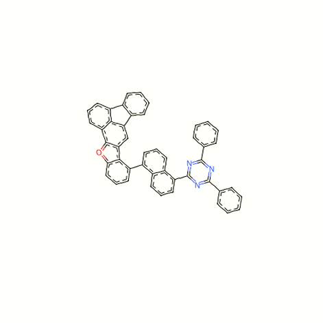 c1ccc(-c2nc(-c3ccccc3)nc(-c3cccc4c(-c5cccc6oc7c8cccc9c8c(cc7c56)-c5ccccc5-9)cccc34)n2)cc1